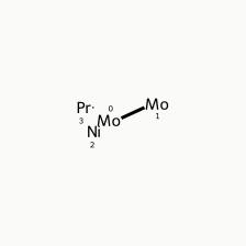 [Mo][Mo].[Ni].[Pr]